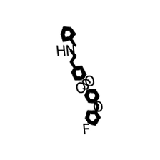 O=S(=O)(c1ccc(CCNCc2ccccc2)cc1)c1ccc(Oc2ccc(F)cc2)cc1